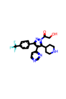 O=C(CO)n1nc(-c2ccc(C(F)(F)F)cc2)c(-c2ccncn2)c1C1CCNCC1